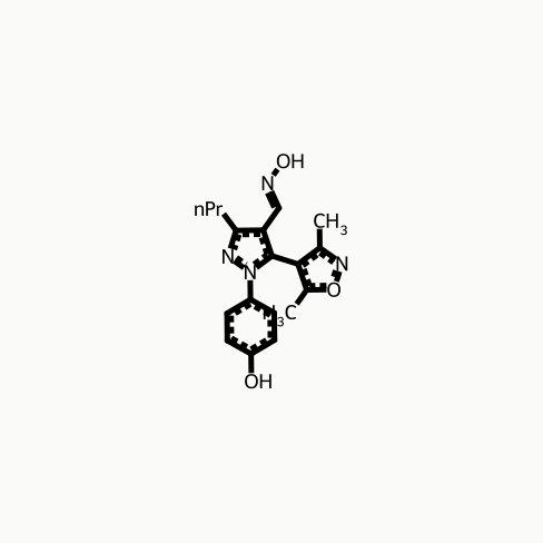 CCCc1nn(-c2ccc(O)cc2)c(-c2c(C)noc2C)c1C=NO